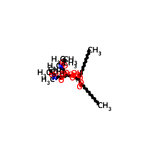 CCCCCCCCCCCCCC(=O)OC[C@H](COP(=O)(O)OCC(COC(=O)CCN(C)C(=O)OC(C)(C)C)OC(=O)CCN(C)C(=O)OC(C)(C)C)OC(=O)CCCCCCCCCCCCC